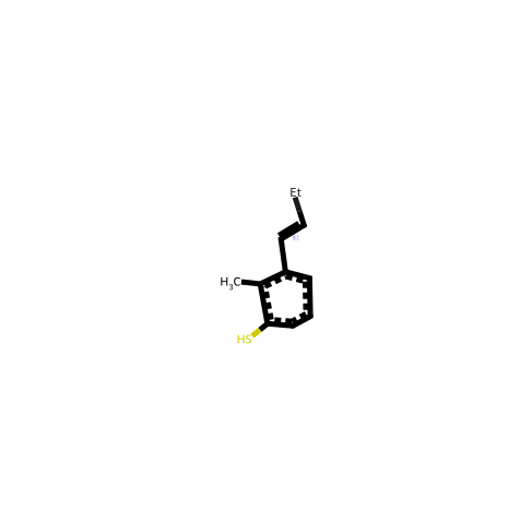 CC/C=C/c1cccc(S)c1C